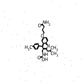 Cc1ccc(-c2c(CNC(=O)O)c(CC(C)C)nc3ccc(OCCCC(N)=O)cc23)cc1